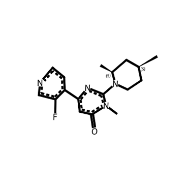 C[C@H]1CCN(c2nc(-c3ccncc3F)cc(=O)n2C)[C@@H](C)C1